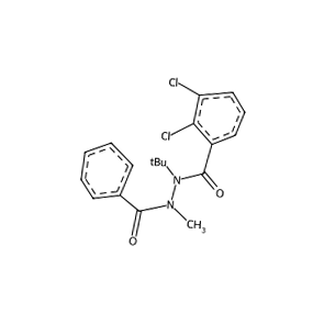 CN(C(=O)c1ccccc1)N(C(=O)c1cccc(Cl)c1Cl)C(C)(C)C